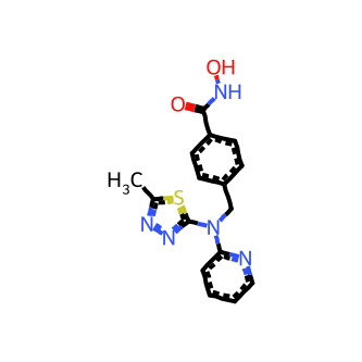 Cc1nnc(N(Cc2ccc(C(=O)NO)cc2)c2ccccn2)s1